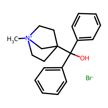 C[N+]12CCC(C(O)(c3ccccc3)c3ccccc3)(CC1)C2.[Br-]